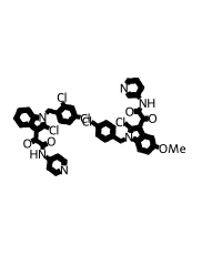 COc1ccc2c(c1)c(C(=O)C(=O)Nc1cccnc1)c(Cl)n2Cc1ccc(Cl)cc1.O=C(Nc1ccncc1)C(=O)c1c(Cl)n(Cc2ccc(Cl)cc2Cl)c2ccccc12